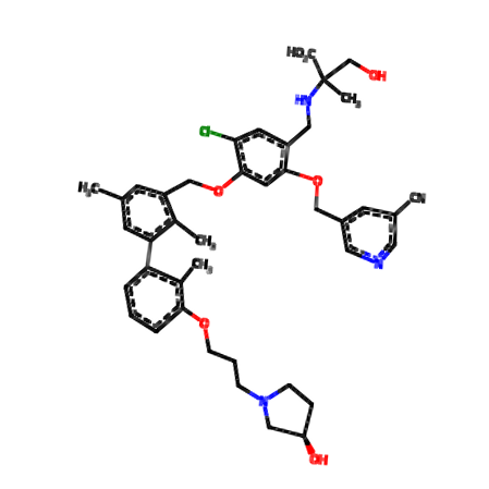 Cc1cc(COc2cc(OCc3cncc(C#N)c3)c(CNC(C)(CO)C(=O)O)cc2Cl)c(C)c(-c2cccc(OCCCN3CC[C@@H](O)C3)c2C)c1